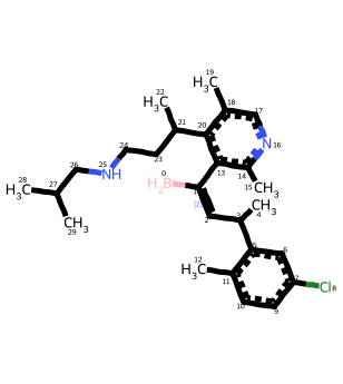 B/C(=C/C(C)c1cc(Cl)ccc1C)c1c(C)ncc(C)c1C(C)CCNCC(C)C